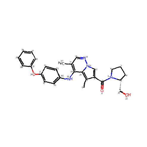 Cc1c(C(=O)N2CCC[C@@H]2CO)cn2ncc(C#N)c(Nc3ccc(Oc4ccccc4)cc3)c12